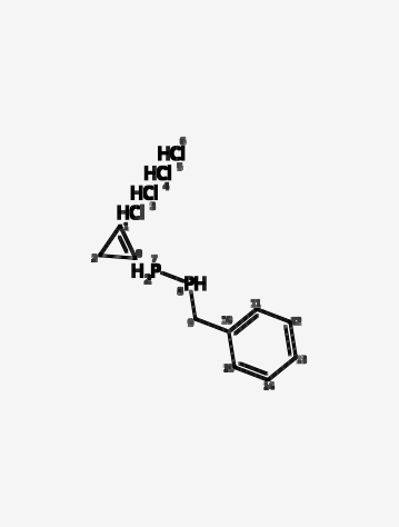 C1=CC1.Cl.Cl.Cl.Cl.PPCc1ccccc1